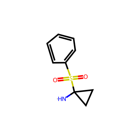 [NH]C1(S(=O)(=O)c2ccccc2)CC1